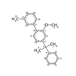 COc1cc(C(C)(C)c2ccccc2)ccc1-c1cccc(C)c1